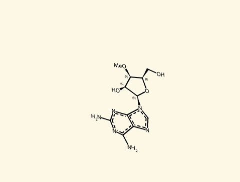 CO[C@@H]1[C@H](O)[C@H](n2cnc3c(N)nc(N)nc32)O[C@@H]1CO